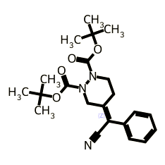 CC(C)(C)OC(=O)N1CC/C(=C(/C#N)c2ccccc2)CN1C(=O)OC(C)(C)C